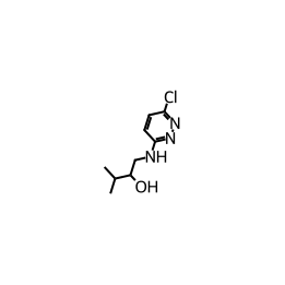 CC(C)C(O)CNc1ccc(Cl)nn1